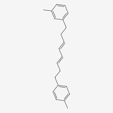 Cc1ccc(CCC=CC=CCCc2cccc(C)c2)cc1